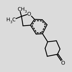 CC1(C)Cc2cc(C3CCC(=O)CC3)ccc2O1